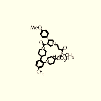 COc1ccc([C@@H]2CN(CCC(=O)N(C)C)C[C@H]2C(=O)N2CCC(c3ccc(C(F)(F)F)cc3N3CCC(C(=O)O)CC3)CC2)cc1